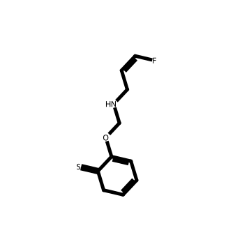 F/C=C\CNCOC1=CC=CCC1=S